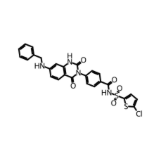 O=C(NS(=O)(=O)c1ccc(Cl)s1)c1ccc(-n2c(=O)[nH]c3cc(NCc4ccccc4)ccc3c2=O)cc1